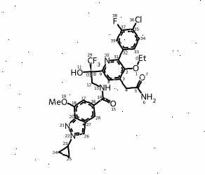 CCOc1c(CC(N)=O)cc([C@@](O)(CNC(=O)c2cc(OC)c3nn(C4CC4)cc3c2)C(F)(F)F)nc1-c1ccc(Cl)c(F)c1